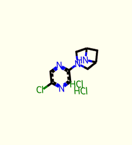 Cl.Cl.Clc1cnc(N2CC3CC(C2)N3)cn1